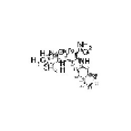 CC(C)(C)CC(Nc1cnc(C(N)=O)c(Nc2ccc3cccnc3c2)c1)C(N)=O